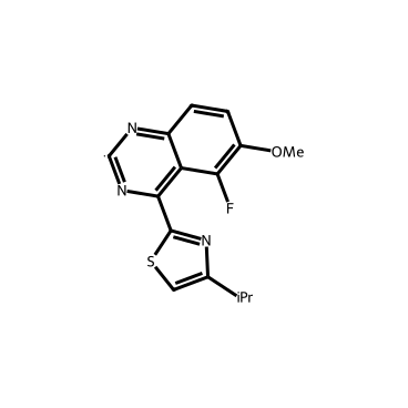 COc1ccc2n[c]nc(-c3nc(C(C)C)cs3)c2c1F